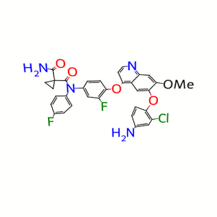 COc1cc2nccc(Oc3ccc(N(C(=O)C4(C(N)=O)CC4)c4ccc(F)cc4)cc3F)c2cc1Oc1ccc(N)cc1Cl